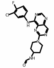 O=CNC1CCN(c2ncc3ncnc(Nc4ccc(F)c(Cl)c4)c3n2)CC1